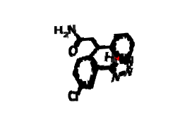 NC(=O)CC(c1ccccc1)c1ccc(Cl)cc1-c1nnn[nH]1